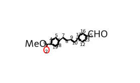 COC(=O)c1ccc(C=CC=Cc2ccc(C=O)cc2)cc1